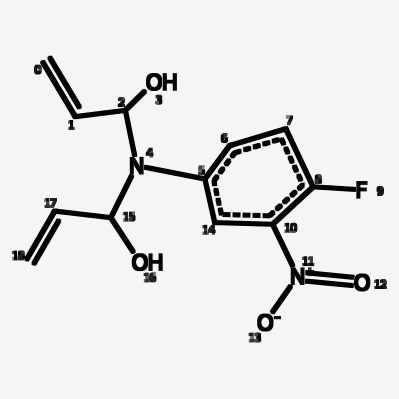 C=CC(O)N(c1ccc(F)c([N+](=O)[O-])c1)C(O)C=C